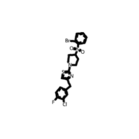 O=S(=O)(c1ccccc1Br)C1CCN(c2nc(Cc3ccc(F)c(Cl)c3)cs2)CC1